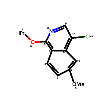 COc1ccc2c(OC(C)C)ncc(Cl)c2c1